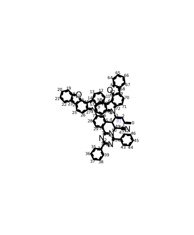 C=C/C=C(\C(c1cc(-n2c3ccccc3c3c4oc5ccccc5c4ccc32)ccc1-c1nc(-c2ccccc2)nc(-c2ccccc2)n1)C(C)C#N)n1c2ccccc2c2c3oc4ccccc4c3ccc21